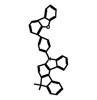 CC1(C)c2ccccc2-c2c1ccc1c2c2ccccc2n1-c1ccc(-c2cccc3c2oc2ccccc23)cc1